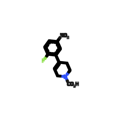 O=C(O)N1CC=C(c2cc([N+](=O)[O-])ccc2F)CC1